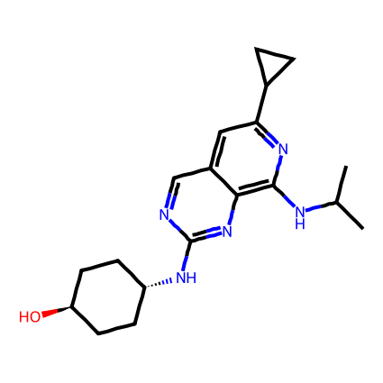 CC(C)Nc1nc(C2CC2)cc2cnc(N[C@H]3CC[C@H](O)CC3)nc12